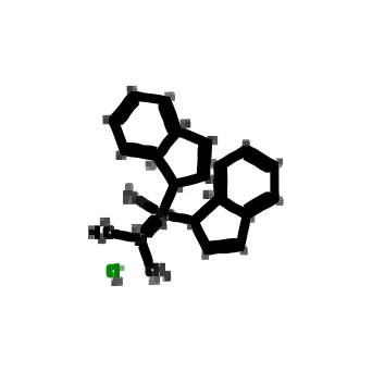 C[CH2][Zr+]([CH]1C=Cc2ccccc21)([CH]1C=Cc2ccccc21)=[Si](C)C.[Cl-]